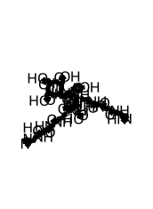 NC(=O)[C@@H](CCCCNC(=O)CNC(=O)CCC(=O)NCCc1cnc[nH]1)NC(=O)[C@@H](CCC(=O)O)NC(=O)[C@@H](CCCCNC(=O)CNC(=O)CCC(=O)NCCc1cnc[nH]1)NC(=O)[C@@H](Cc1ccc(O)cc1)NC(=O)CN1CCN(CC(=O)O)CCN(CC(=O)O)CCN(CC(=O)O)CC1